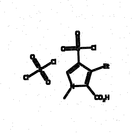 CCc1c(S(=O)(=O)Cl)cn(C)c1C(=O)O.O=S(=O)(Cl)Cl